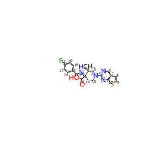 CC1CN(c2ncc3ccsc3n2)CCC1(NCc1ccc(F)cc1)C(=O)O